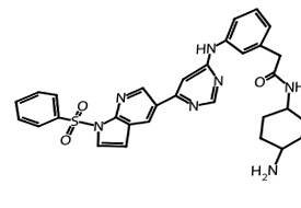 NC1CCC(NC(=O)Cc2cccc(Nc3cc(-c4cnc5c(ccn5S(=O)(=O)c5ccccc5)c4)ncn3)c2)CC1